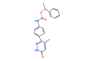 Cc1cc(=O)[nH]nc1-c1ccc(NC(=O)OC(C)c2ccccc2)cc1